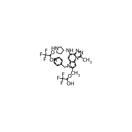 Cc1cc2c(cc(N[C@@H]3CCNC3)c3nnc(C)n32)n1Cc1ccccc1.O=C(O)C(F)(F)F.O=C(O)C(F)(F)F